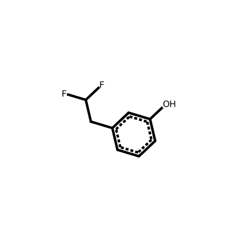 Oc1cccc(CC(F)F)c1